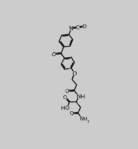 NC(=O)CC(NC(=O)CCOc1ccc(C(=O)c2ccc(N=C=O)cc2)cc1)C(=O)O